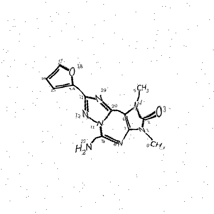 Cn1c(=O)n(C)c2c1nc(N)n1nc(-c3ccco3)nc21